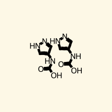 O=C(O)Nc1cn[nH]c1.O=C(O)Nc1cn[nH]c1